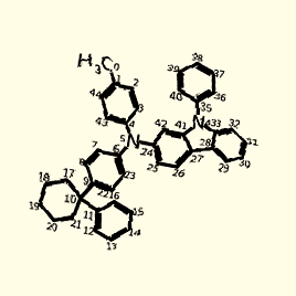 Cc1ccc(N(c2ccc(C3(c4ccccc4)CCCCC3)cc2)c2ccc3c4ccccc4n(-c4ccccc4)c3c2)cc1